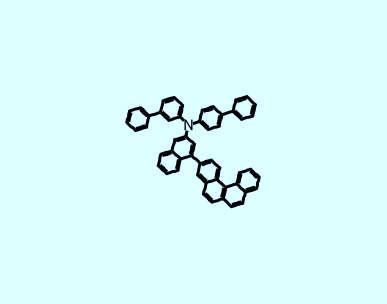 c1ccc(-c2ccc(N(c3cccc(-c4ccccc4)c3)c3cc(-c4ccc5c(ccc6ccc7ccccc7c65)c4)c4ccccc4c3)cc2)cc1